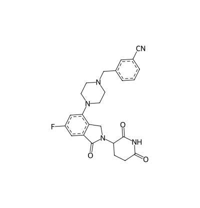 N#Cc1cccc(CN2CCN(c3cc(F)cc4c3CN(C3CCC(=O)NC3=O)C4=O)CC2)c1